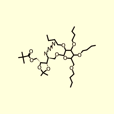 CCCCOCC1OC(OC[C@H](N=[N+]=[N-])[C@@H]2OC(C)(C)O[C@@H]2COC(=O)C(C)(C)C)C(OCCCC)C(OCCCC)C1OCCCC